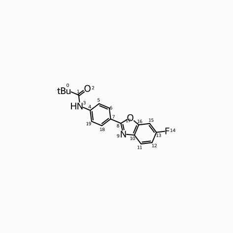 CC(C)(C)C(=O)Nc1ccc(-c2nc3ccc(F)cc3o2)cc1